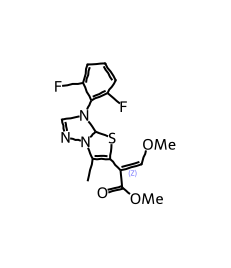 CO/C=C(/C(=O)OC)C1=C(C)N2N=CN(c3c(F)cccc3F)C2S1